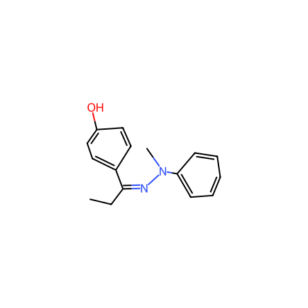 CC/C(=N/N(C)c1ccccc1)c1ccc(O)cc1